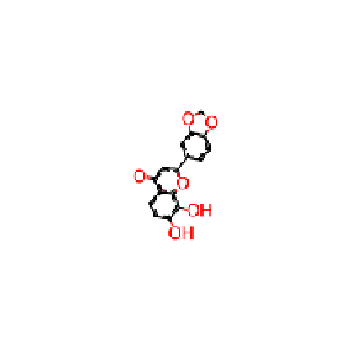 O=c1cc(-c2ccc3c(c2)OCO3)oc2c(O)c(O)ccc12